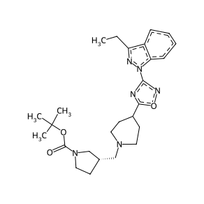 CCc1nn(-c2noc(C3CCN(C[C@@H]4CCN(C(=O)OC(C)(C)C)C4)CC3)n2)c2ccccc12